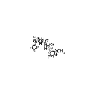 CNc1c(F)cc(F)cc1CC[C@@H](C=O)NC(=O)c1nc2n(n1)CCOC2c1ccccc1